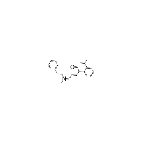 CC(C)c1ccccc1C(C=O)CCCN(C)CCc1ccccc1